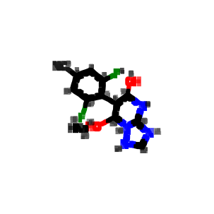 N#Cc1cc(F)c(-c2c(O)nc3ncnn3c2O)c(F)c1.[NaH]